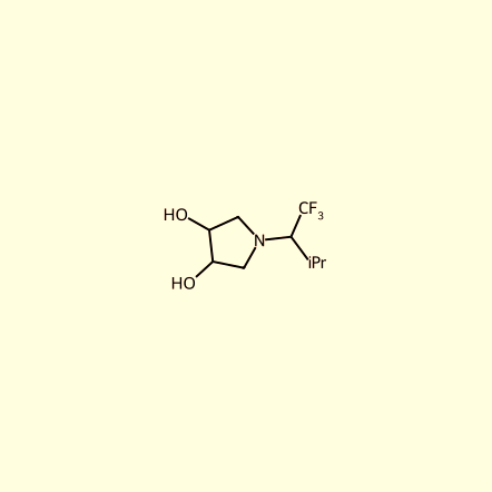 CC(C)C(N1CC(O)C(O)C1)C(F)(F)F